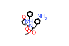 CCOC(=O)[C@H](Cc1ccc(N)cc1)NC(=O)[C@@H]1CCC(=O)N1Cc1ccccc1